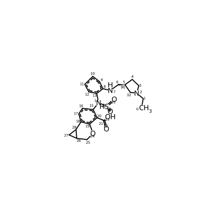 CCN1CC[C@H](CNc2ccccc2N(c2ccc3c(c2C(=O)O)OCC2CC32)[SH](=O)=O)C1